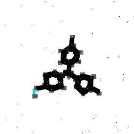 Cc1cc[c]([Sn+]([c]2ccc(C)cc2)[c]2ccc(C)cc2)cc1.[F-]